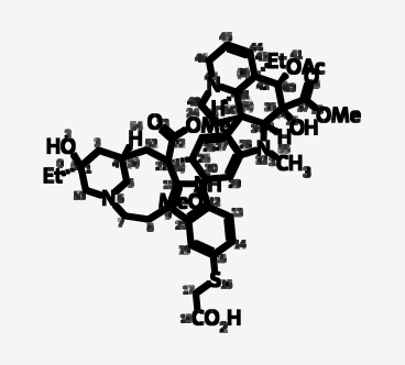 CC[C@]1(O)C[C@H]2CN(CCc3c([nH]c4ccc(SCC(=O)O)cc34)[C@@](C(=O)OC)(C3C=C4C(=CC3OC)N(C)[C@H]3[C@@](O)(C(=O)OC)[C@H](OC(C)=O)[C@]5(CC)C=CCN6CC[C@]43[C@@H]65)C2)C1